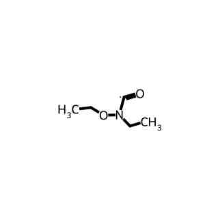 CCON([C]=O)CC